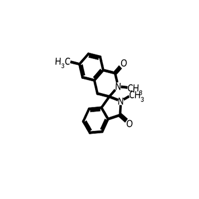 Cc1ccc2c(c1)CC1(c3ccccc3C(=O)N1C)N(C)C2=O